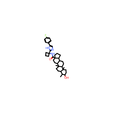 CC1C(O)CCC2(C)C1CCC1(C)C3CCC4(C(=O)NC5(c6ncc(-c7ccc(F)cc7)[nH]6)CCC5)CCCC4C3CCC21